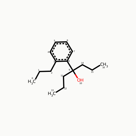 CCCc1ccccc1C(O)(CCC)CCC